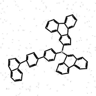 c1ccc2c(-c3ccc(-c4ccc(N(c5ccc6c7ccccc7c7ccccc7c6c5)c5cc6ccccc6c6ccccc56)cc4)cc3)cccc2c1